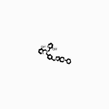 Oc1cccnc1CN(Cc1ccc(CN2CCC3(CCN(C4CCCCC4)CC3)C2)cc1)Cc1ncccc1O